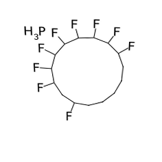 FC1CCCCCC(F)C(F)C(F)C(F)C(F)C(F)C(F)C(F)C1.P